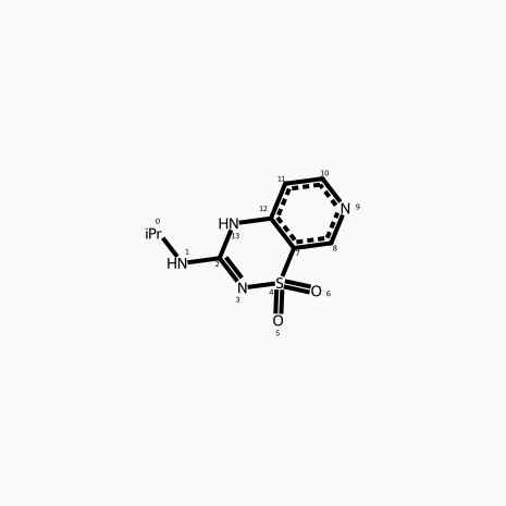 CC(C)NC1=NS(=O)(=O)c2cnccc2N1